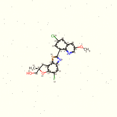 COc1cnc2c(-c3nc4cc(F)c5c(c4s3)C[C@@](C)(CO)O5)cc(Cl)cc2c1